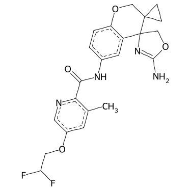 Cc1cc(OCC(F)F)cnc1C(=O)Nc1ccc2c(c1)C1(COC(N)=N1)C1(CC1)CO2